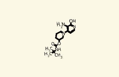 CC(C)(C)NC(=O)OC1CCCN(c2ccnc(O)c2N)C1